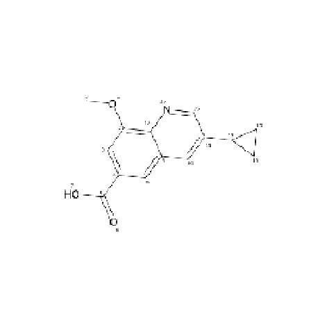 COc1cc(C(=O)O)cc2cc(C3CC3)cnc12